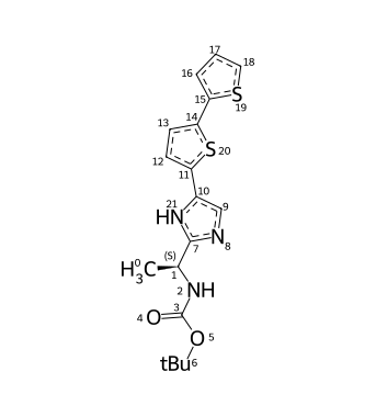 C[C@H](NC(=O)OC(C)(C)C)c1ncc(-c2ccc(-c3cccs3)s2)[nH]1